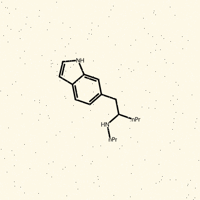 CCCNC(CCC)Cc1ccc2cc[nH]c2c1